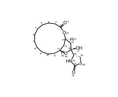 O=C1CCCCCCCCCC[C@@H]2C[C@H](C[C@](O)([C@@H]3CSC(=O)N3)O2)O1